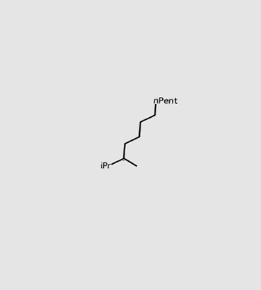 CCCCCCCCC[C](C)C(C)C